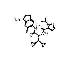 CC(C)n1nccc1C(=O)N[C@H](C(=O)Nc1cc2c(cc1F)[C@H](N)CC2)C(C1CC1)C1CC1